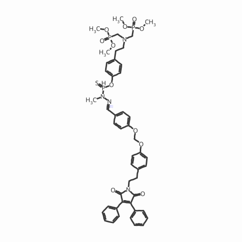 COP(=O)(CN(CCc1ccc(O[PH](=S)N(C)/N=C/c2ccc(OCOc3ccc(CCN4C(=O)C(c5ccccc5)=C(c5ccccc5)C4=O)cc3)cc2)cc1)CP(=O)(OC)OC)OC